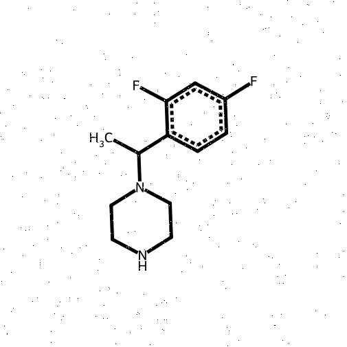 CC(c1ccc(F)cc1F)N1CCNCC1